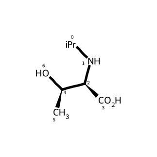 CC(C)N[C@@H](C(=O)O)[C@@H](C)O